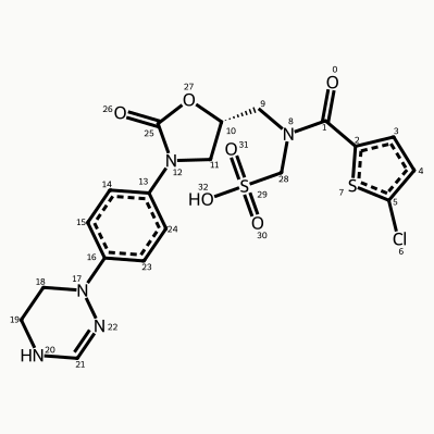 O=C(c1ccc(Cl)s1)N(C[C@@H]1CN(c2ccc(N3CCNC=N3)cc2)C(=O)O1)CS(=O)(=O)O